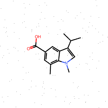 Cc1cc(C(=O)O)cc2c(C(C)C)cn(C)c12